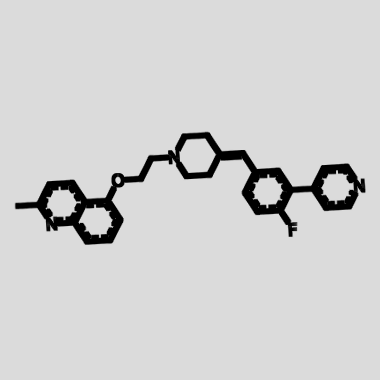 Cc1ccc2c(OCCN3CCC(=Cc4ccc(F)c(-c5ccncc5)c4)CC3)cccc2n1